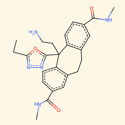 CCc1nnc(C2(CCN)c3ccc(C(=O)NC)cc3CCc3cc(C(=O)NC)ccc32)o1